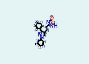 O=c1nc(/C=C/c2cn(-c3ccccc3)nc2-c2ccccc2)[nH]o1